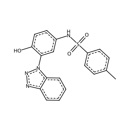 Cc1ccc(S(=O)(=O)Nc2ccc(O)c(-n3nnc4ccccc43)c2)cc1